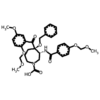 COCOc1ccc(C(=O)N[C@@H]2CN(C(=O)O)CCC[C@]2(OCc2ccccc2)C(=O)c2cc(OC)ccc2OCOC)cc1